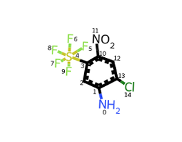 Nc1cc(S(F)(F)(F)(F)F)c([N+](=O)[O-])cc1Cl